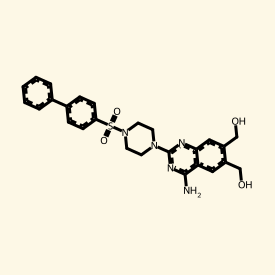 Nc1nc(N2CCN(S(=O)(=O)c3ccc(-c4ccccc4)cc3)CC2)nc2cc(CO)c(CO)cc12